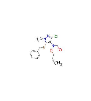 C=CCON(C=O)c1c(Cl)nn(C)c1SCc1ccccc1